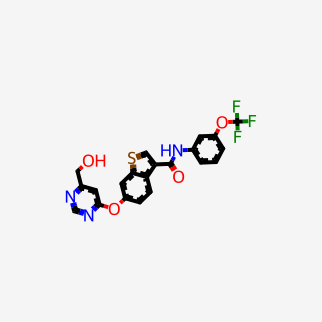 O=C(Nc1cccc(OC(F)(F)F)c1)c1csc2cc(Oc3cc(CO)ncn3)ccc12